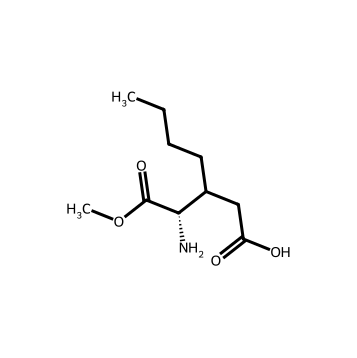 CCCCC(CC(=O)O)[C@H](N)C(=O)OC